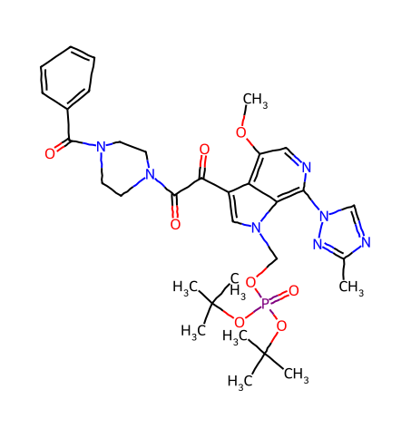 COc1cnc(-n2cnc(C)n2)c2c1c(C(=O)C(=O)N1CCN(C(=O)c3ccccc3)CC1)cn2COP(=O)(OC(C)(C)C)OC(C)(C)C